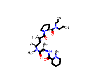 C/C(=C\[C@H](C(C)C)N(C)C(=O)[C@@H](NC(=O)C1CCCCN1C(C)C)C(C)(C)C)C(=O)N1CCC[C@H]1C(=O)N(CCC#N)CCC#N